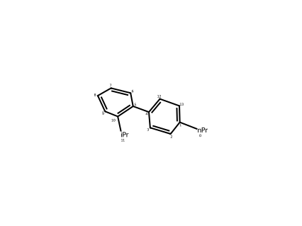 CCCc1ccc(-c2ccc[c]c2C(C)C)cc1